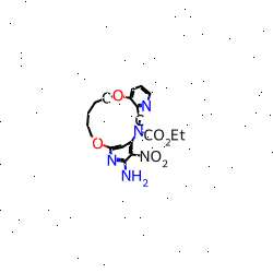 CCOC(=O)N1Cc2ncccc2OCCCCCOc2cc1c([N+](=O)[O-])c(N)n2